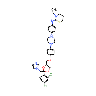 CCN1CCCS/C1=N\c1ccc(N2CCN(c3ccc(OCC4COC(Cn5ccnc5)(c5ccc(Cl)cc5Cl)O4)cc3)CC2)cc1